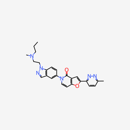 CCCN(C)CCn1ncc2cc(-n3ccc4oc(-c5ccc(C)nn5)cc4c3=O)ccc21